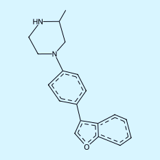 CC1CN(c2ccc(-c3coc4ccccc34)cc2)CCN1